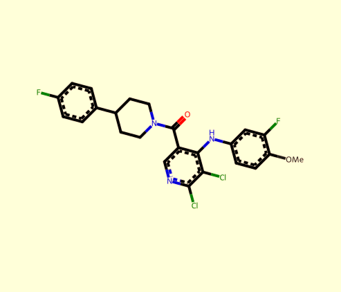 COc1ccc(Nc2c(C(=O)N3CCC(c4ccc(F)cc4)CC3)cnc(Cl)c2Cl)cc1F